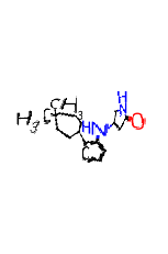 CC1(C)CCC(c2ccccc2NC2CNC(=O)C2)CC1